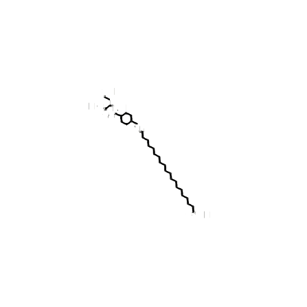 CCC[C@@H](NC(=O)C1CCC(CNC(=O)CCCCCCCCCCCCCCCCCCC(=O)O)CC1)C(=O)O